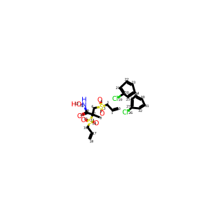 C=CCS(=O)(=O)CC(C)(C(=O)NO)S(=O)(=O)CC=C.Clc1ccccc1.Clc1ccccc1